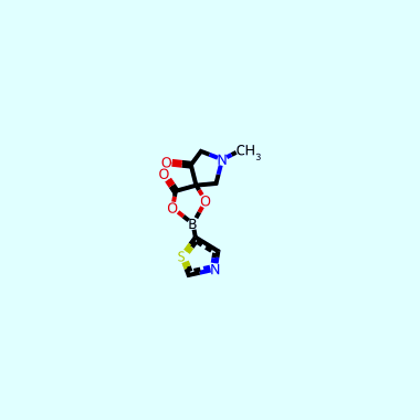 CN1CC(=O)C2(C1)OB(c1cncs1)OC2=O